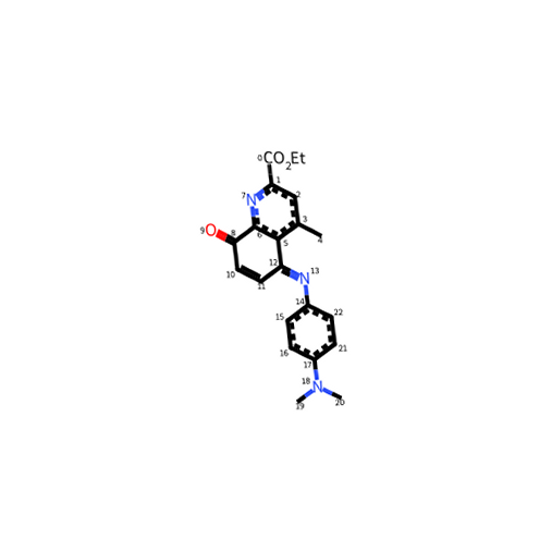 CCOC(=O)c1cc(C)c2c(n1)C(=O)C=CC2=Nc1ccc(N(C)C)cc1